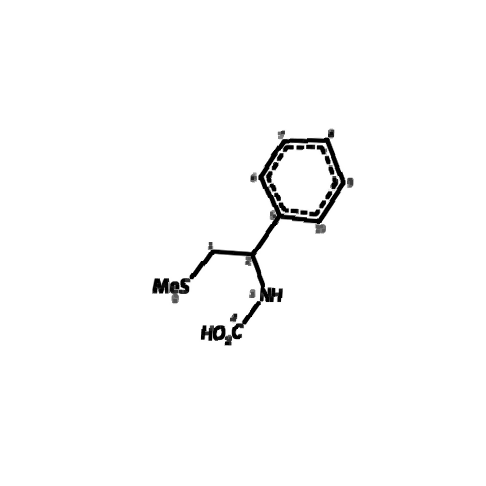 CSCC(NC(=O)O)c1ccccc1